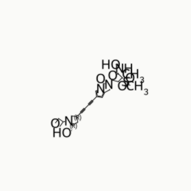 CC(CCN1Cc2cc(C#CC#C[C@H]3C[C@H](CO)N(C4COC4)C3)cn2C1=O)(C(=O)NO)S(C)(=O)=O